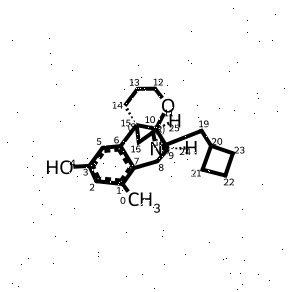 Cc1cc(O)cc2c1C[C@@H]1[C@@H]3OCCC[C@]23CCN1CC1CCC1